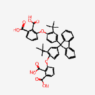 CC(C)(C)c1cc(C2(c3ccc(Oc4cccc(C(=O)O)c4C(=O)O)c(C(C)(C)C)c3)c3ccccc3-c3ccccc32)ccc1Oc1cccc(C(=O)O)c1C(=O)O